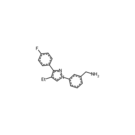 CCc1cn(-c2cccc(CN)c2)nc1-c1ccc(F)cc1